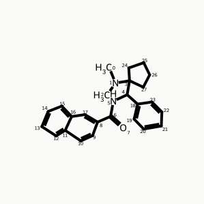 CN(C)C1(C(NC(=O)c2ccc3ccccc3c2)c2ccccc2)CCCC1